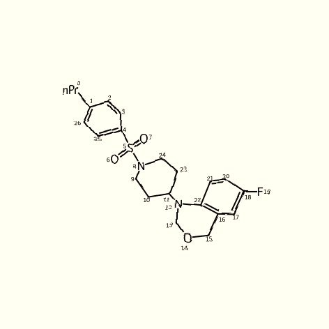 CCCc1ccc(S(=O)(=O)N2CCC(N3COCc4cc(F)ccc43)CC2)cc1